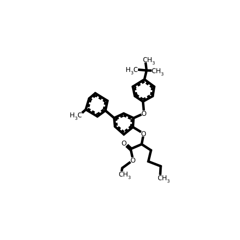 CCCCC(Oc1ccc(-c2cccc(C)c2)cc1Oc1ccc(C(C)(C)C)cc1)C(=O)OCC